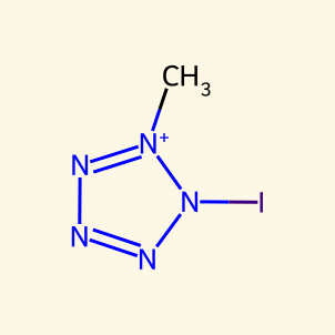 C[n+]1nnnn1I